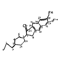 CCCC1CCC(C2Cc3cc4cc(F)c(F)cc4cc3C2=O)CC1